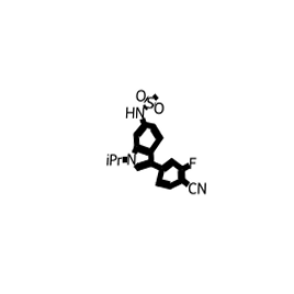 CC(C)n1cc(-c2ccc(C#N)c(F)c2)c2ccc(NS(C)(=O)=O)cc21